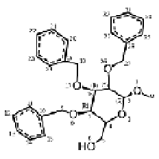 CO[C@H]1OC(CO)[C@@H](OCc2ccccc2)[C@@H](OCc2ccccc2)C1OCc1ccccc1